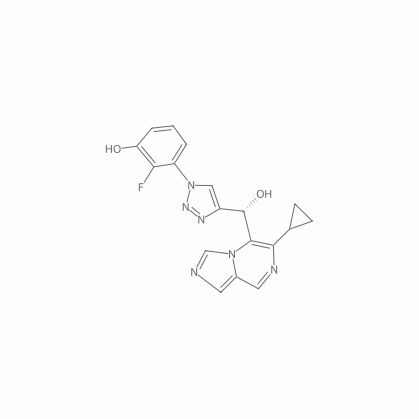 Oc1cccc(-n2cc([C@H](O)c3c(C4CC4)ncc4cncn34)nn2)c1F